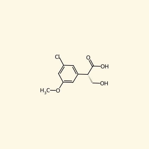 COc1cc(Cl)cc([C@@H](CO)C(=O)O)c1